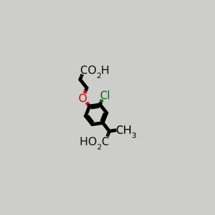 CC(C(=O)O)c1ccc(OCCC(=O)O)c(Cl)c1